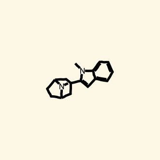 CN1C2CCC1CC(c1cc3ccccc3n1C)C2